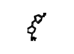 CC(C)C1CCC(=Cc2ccc(F)cc2)CC1